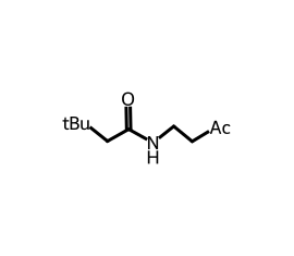 CC(=O)CCNC(=O)CC(C)(C)C